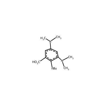 CCCCc1c(C(=O)O)cc(N(C)C)cc1N(C)C